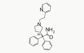 NC(=O)C(c1ccccc1)(c1ccccc1)[C@H]1CCN(CCc2ccccn2)C1